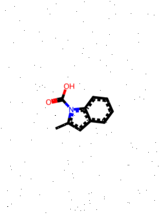 Cc1cc2[c]cccc2n1C(=O)O